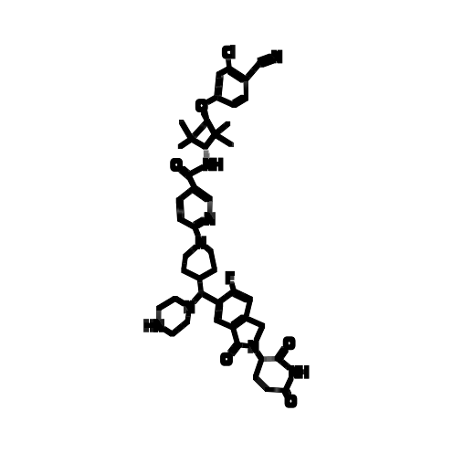 CC1(C)[C@H](NC(=O)c2ccc(N3CCC(C(c4cc5c(cc4F)CN(C4CCC(=O)NC4=O)C5=O)N4CCNCC4)CC3)nc2)C(C)(C)[C@H]1Oc1ccc(C#N)c(Cl)c1